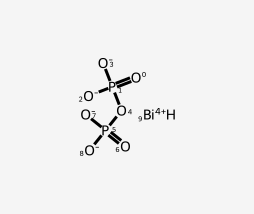 O=P([O-])([O-])OP(=O)([O-])[O-].[BiH+4]